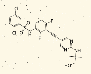 CC(C)(CO)Nc1ncc(C#Cc2c(F)ccc(NS(=O)(=O)c3cc(Cl)ccc3Cl)c2F)cn1